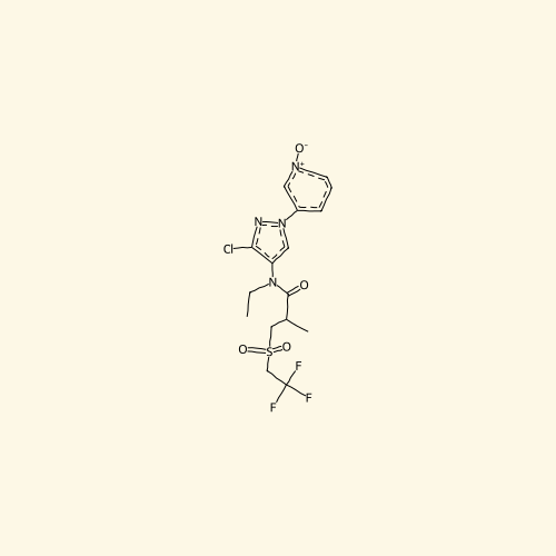 CCN(C(=O)C(C)CS(=O)(=O)CC(F)(F)F)c1cn(-c2ccc[n+]([O-])c2)nc1Cl